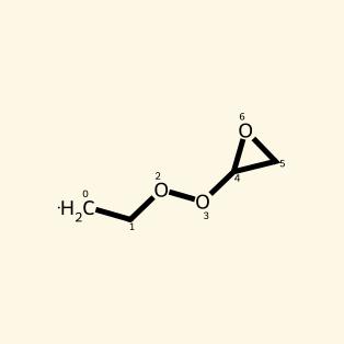 [CH2]COOC1CO1